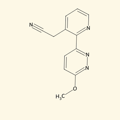 COc1ccc(-c2ncccc2CC#N)nn1